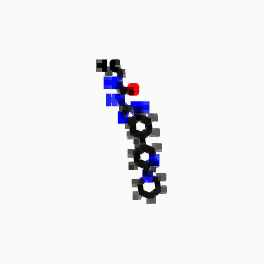 CCNC(=O)Nc1nc2cc(-c3ccc(N4CCCCC4)nc3)ccc2[nH]1